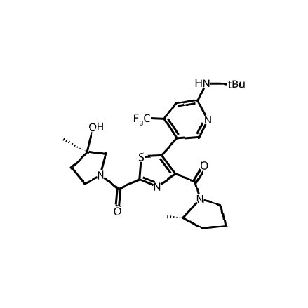 C[C@H]1CCCN1C(=O)c1nc(C(=O)N2CC[C@@](C)(O)C2)sc1-c1cnc(NC(C)(C)C)cc1C(F)(F)F